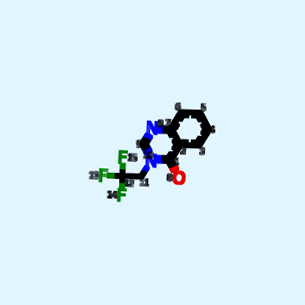 O=c1c2ccccc2ncn1CC(F)(F)F